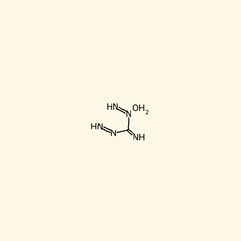 N=NC(=N)N=N.O